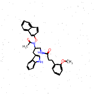 COc1ccccc1CCC(=O)NCC(Cc1c[nH]c2ccccc12)N(Oc1ccc2ccccc2c1)C(C)=O